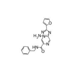 N[N+]12C=C(C(=O)NCc3ccccc3)N=CC1=NC(c1ccco1)=N2